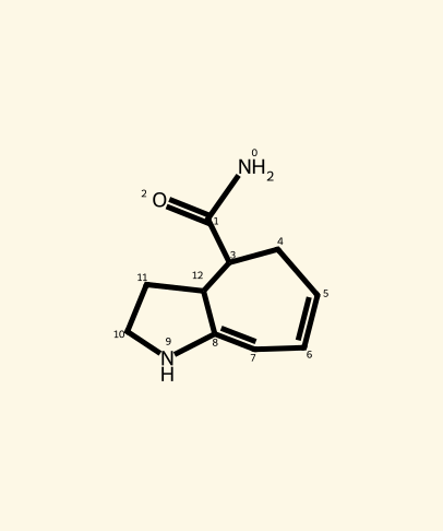 NC(=O)C1CC=CC=C2NCCC21